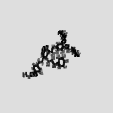 COc1ccc(/C=C/C(N=O)=C(\C/C=C/c2ccccc2)C(=O)/C=C/c2ccc(OCN=[N+]=[N-])c(OCN=[N+]=[N-])c2)cc1